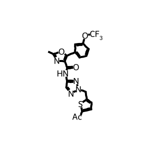 CC(=O)c1ccc(Cn2ncc(NC(=O)c3nc(C)oc3-c3cccc(OC(F)(F)F)c3)n2)s1